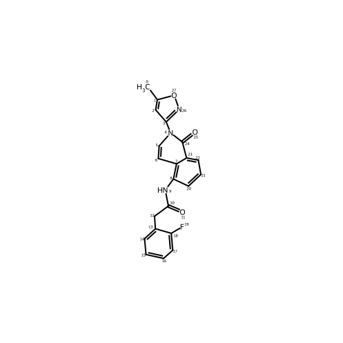 Cc1cc(-n2ccc3c(NC(=O)Cc4ccccc4F)cccc3c2=O)no1